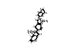 c1ccc2[nH]c(-c3ccc4[nH][n+](-c5ccc6sccc6c5)cc4c3)cc2c1